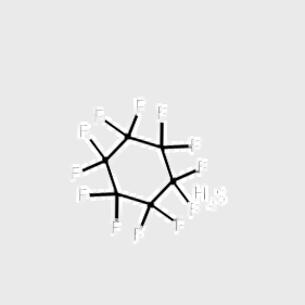 FC1(F)C(F)(F)C(F)(F)C(F)(F)C(F)(F)C1(F)F.S